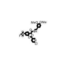 COc1ccc(CCNC(=O)C(OC(=O)c2ccc(Cl)nc2)c2ccc(S(=O)(=O)CF)cc2)cc1OC